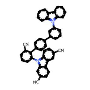 N#Cc1ccc2c(c1)c1ccc(C#N)cc1n2-c1cccc(C#N)c1-c1ccc(-c2cccc(-n3c4ccccc4c4ccccc43)c2)cc1